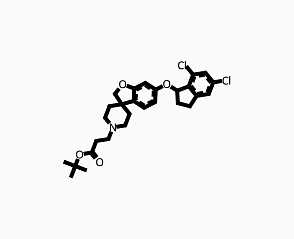 CC(C)(C)OC(=O)CCN1CCC2(CC1)COc1cc(OC3CCc4cc(Cl)cc(Cl)c43)ccc12